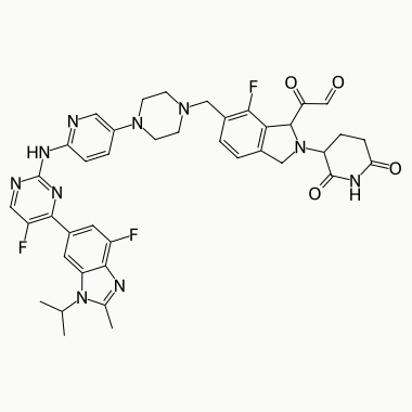 Cc1nc2c(F)cc(-c3nc(Nc4ccc(N5CCN(Cc6ccc7c(c6F)C(C(=O)C=O)N(C6CCC(=O)NC6=O)C7)CC5)cn4)ncc3F)cc2n1C(C)C